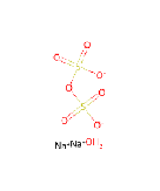 O.O=S(=O)([O-])OS(=O)(=O)[O-].[Na+].[Na+]